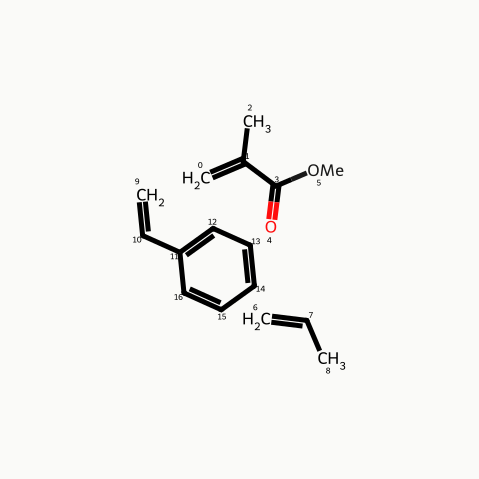 C=C(C)C(=O)OC.C=CC.C=Cc1ccccc1